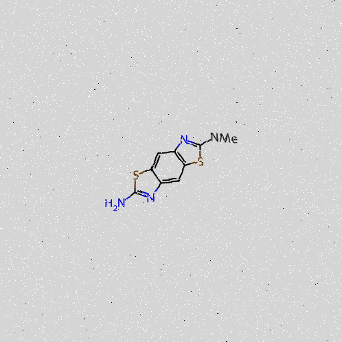 CNc1nc2cc3sc(N)nc3cc2s1